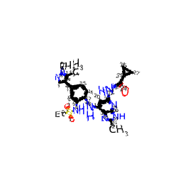 CCS(=O)(=O)Nc1cc(-c2cnn(C)c2C)ccc1Nc1cc(NC(=O)C2CC2)nc2[nH]c(C)nc12